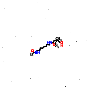 CCC(=O)NCCCCCCCCNC(=O)CC(C)(C)CCO